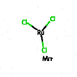 [Cl][Ru]([Cl])[Cl].[Mn]